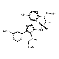 CCCO[C@@H](c1ncc(Cl)cn1)[C@H](C)S(=O)(=O)Nc1nnc(-c2cccc(OC)n2)n1[C@@H](C)COC